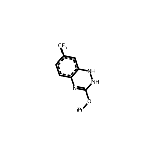 CC(C)OC1=Nc2ccc(C(F)(F)F)cc2NN1